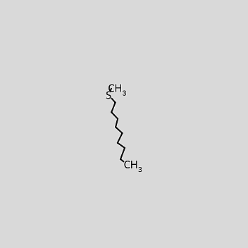 CCCCCCCCCSC